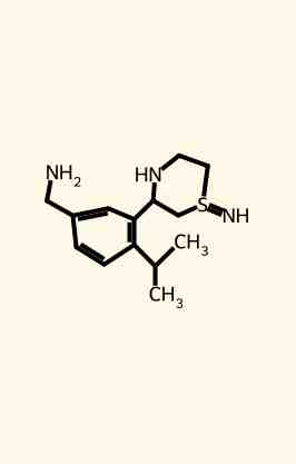 CC(C)c1ccc(CN)cc1C1CS(=N)CCN1